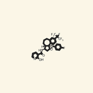 O=C(N[C@@H]1CC[C@@]2(S(=O)(=O)c3ccc(F)cc3)c3ccc(C(F)(C(F)(F)F)C(F)(F)F)cc3CCC[C@@H]12)c1cccnc1O